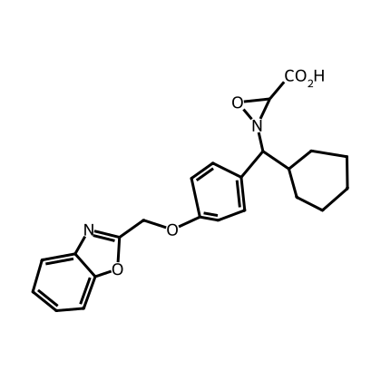 O=C(O)C1ON1C(c1ccc(OCc2nc3ccccc3o2)cc1)C1CCCCC1